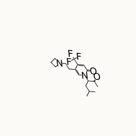 CC(=O)C(CC(C)C)n1cc(CCN2CCC2)c(C(F)(F)F)cc1=O